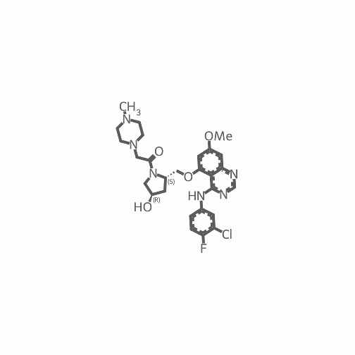 COc1cc(OC[C@@H]2C[C@@H](O)CN2C(=O)CN2CCN(C)CC2)c2c(Nc3ccc(F)c(Cl)c3)ncnc2c1